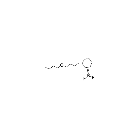 C1CCCCC1.CCCCOCCCC.FB(F)F